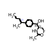 C=C/C=C(\C)c1ccc([C@@H](O)[C@@H](CF)NC(C)=O)cc1